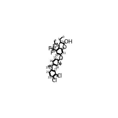 CCC(C(=O)O)N(CC)c1ccc(Oc2ccc(N(C)c3ccc(Cl)c(Cl)c3)cn2)cc1C(F)(F)F